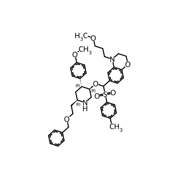 COCCCN1CCOc2ccc(C(O[C@H]3CN[C@@H](CCOCc4ccccc4)C[C@@H]3c3ccc(OC)cc3)S(=O)(=O)c3ccc(C)cc3)cc21